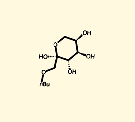 CCCCOC[C@@]1(O)OC[C@@H](O)[C@@H](O)[C@@H]1O